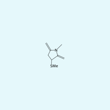 C=C1CC(SC)C(=C)N1C